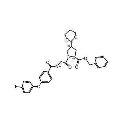 O=C(NCC(=O)N1C[C@@H](C2OCCCO2)C[C@H]1C(=O)OCc1ccccc1)c1ccc(Oc2ccc(F)cc2)cc1